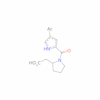 CC(=O)c1c[nH]c(C(=O)N2CCCC2CC(=O)O)c1